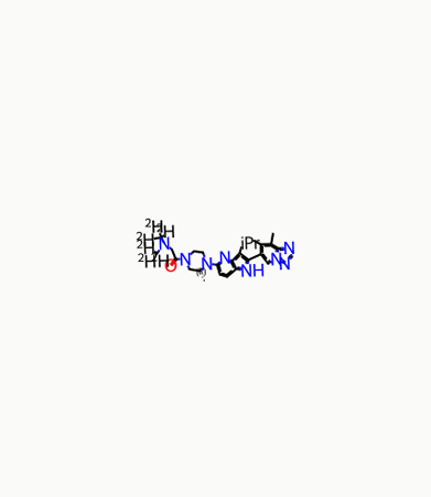 [2H]C([2H])([2H])N(CC(=O)N1CCN(c2ccc3[nH]c(-c4cn5ncnc5c(C)c4C)c(C(C)C)c3n2)[C@H](C)C1)C([2H])([2H])[2H]